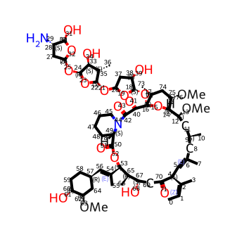 C/C=C(/C)[C@@H]1/C=C(\C)C[C@H](C)C[C@H](OC)[C@H]2O[C@@](O[C@@H]3OC(O[C@H]4O[C@@H](O[C@H]5C[C@H](N)[C@@H](O)O5)[C@@H](O)[C@@H]4C)C[C@H]3O)(C(=O)C(=O)N3CCCC[C@H]3C(=O)O[C@H](/C(C)=C/[C@@H]3CC[C@@H](O)[C@H](OC)C3)[C@H](C)[C@@H](O)CC1=O)[C@H](C)C[C@@H]2OC